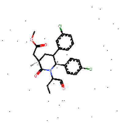 CCC(C=O)N1C(=O)[C@@](C)(CC(=O)OC)CC(c2cccc(Cl)c2)[C@H]1c1ccc(Cl)cc1